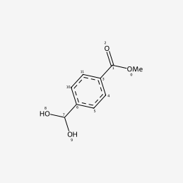 COC(=O)c1ccc(C(O)O)cc1